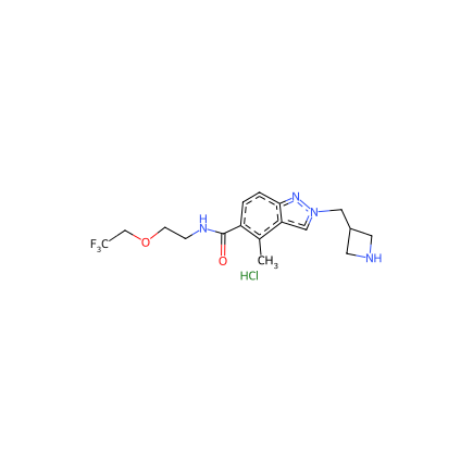 Cc1c(C(=O)NCCOCC(F)(F)F)ccc2nn(CC3CNC3)cc12.Cl